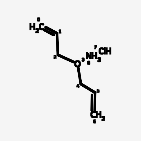 C=CCOCC=C.Cl.N